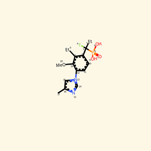 CCc1c(C(F)(CC)P(=O)(O)O)ccc(-n2cnc(C)c2)c1OC